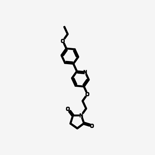 CCOc1ccc(-c2ccc(OCCN3C(=O)CCC3=O)cn2)cc1